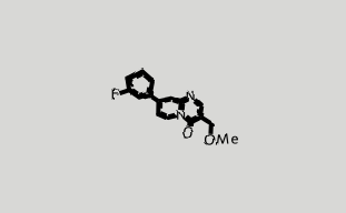 COCc1cnc2cc(-c3cccc(F)c3)ccn2c1=O